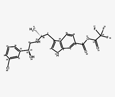 C[C@H](Cc1c[nH]c2cc(C(=O)OC(=O)C(F)(F)F)ccc12)NC[C@@H](O)c1cccc(Cl)c1